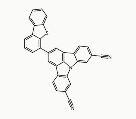 N#Cc1ccc2c3cc(-c4cccc5c4sc4ccccc45)cc4c5ccc(C#N)cc5n(c2c1)c34